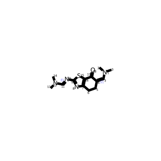 CN(C)/C=C1/CCc2nc(/N=C/N(C)C)sc2C1=O